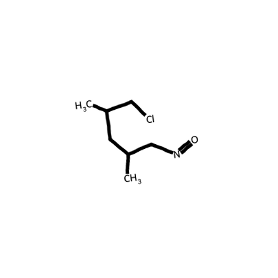 CC(CCl)CC(C)CN=O